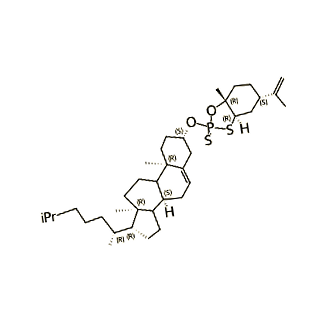 C=C(C)[C@H]1CC[C@@]2(C)OP(=S)(O[C@H]3CC[C@@]4(C)C(=CC[C@@H]5C4CC[C@@]4(C)C5CC[C@@H]4[C@H](C)CCCC(C)C)C3)S[C@@H]2C1